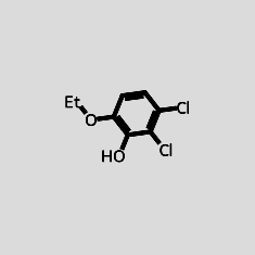 CCOc1ccc(Cl)c(Cl)c1O